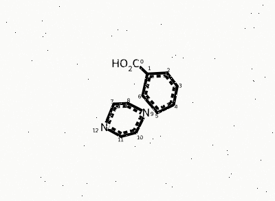 O=C(O)c1ccccc1.c1cnccn1